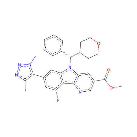 COC(=O)c1cnc2c3c(F)cc(-c4c(C)nnn4C)cc3n([C@H](c3ccccc3)C3CCOCC3)c2c1